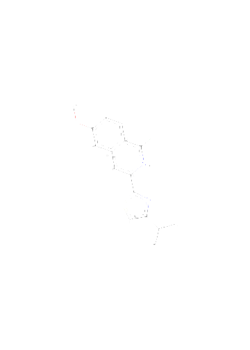 COc1ccc2c(Cl)nc(-c3nc(C(C)C)cs3)cc2c1